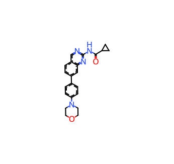 O=C(Nc1ncc2ccc(-c3ccc(N4CCOCC4)cc3)cc2n1)C1CC1